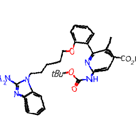 Cc1c(C(=O)O)cc(NC(=O)OC(C)(C)C)nc1-c1ccccc1OCCCCCn1c(N)nc2ccccc21